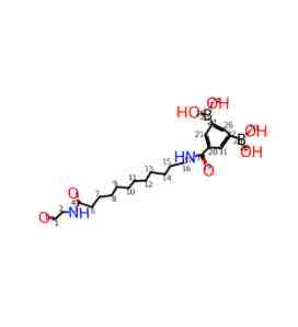 O=CCNC(=O)CCCCCCCCCCCNC(=O)c1cc(B(O)O)cc(B(O)O)c1